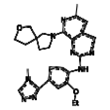 CCOc1cc(-c2nncn2C)ccc1Nc1ncc2cc(C)nc(N3CCC4(CCOC4)C3)c2n1